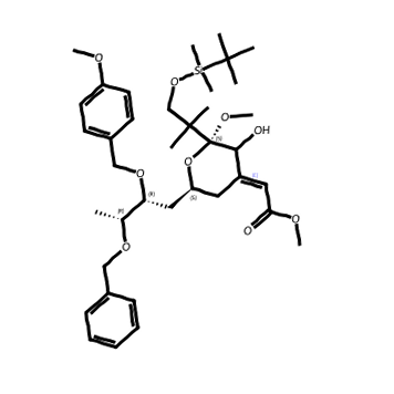 COC(=O)/C=C1\C[C@@H](C[C@@H](OCc2ccc(OC)cc2)[C@@H](C)OCc2ccccc2)O[C@@](OC)(C(C)(C)CO[Si](C)(C)C(C)(C)C)C1O